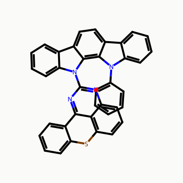 c1ccc(-n2c3ccccc3c3ccc4c5ccccc5n(-c5nc6c7c(cccc7n5)Sc5ccccc5-6)c4c32)cc1